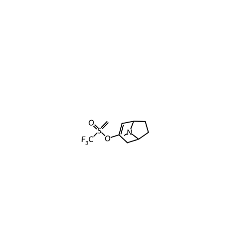 C=S(=O)(OC1=CC2CCC(C1)N2C)C(F)(F)F